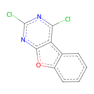 Clc1nc(Cl)c2c(n1)oc1ccccc12